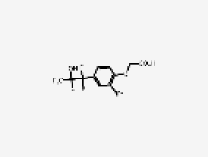 CC(C)c1cc(C(F)(F)C(O)(F)C(F)(F)F)ccc1OCC(=O)O